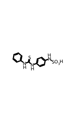 O=S(=O)(O)Nc1ccc(NC(=S)Nc2ccccc2)cc1